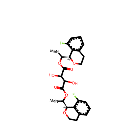 CNC(OC(=O)C(O)C(O)C(=O)OC(NC)[C@@H]1OCCc2cccc(F)c21)[C@@H]1OCCc2cccc(F)c21